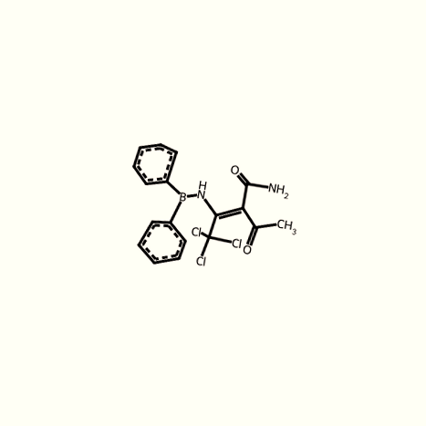 CC(=O)/C(C(N)=O)=C(/NB(c1ccccc1)c1ccccc1)C(Cl)(Cl)Cl